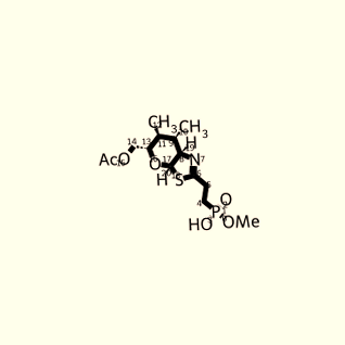 COP(=O)(O)CCC1=N[C@@H]2[C@@H](C)[C@H](C)[C@@H](COC(C)=O)O[C@@H]2S1